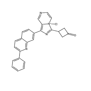 O=C1CC(C2=NC(c3ccc4ccc(-c5ccccc5)nc4c3)=C3C=NC=C[N+]23Cl)C1